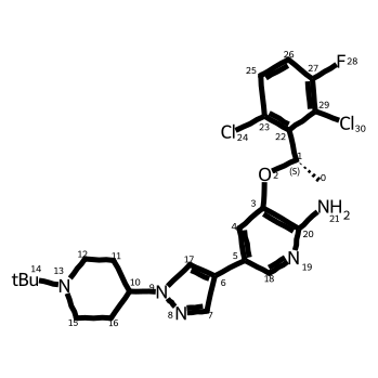 C[C@H](Oc1cc(-c2cnn(C3CCN(C(C)(C)C)CC3)c2)cnc1N)c1c(Cl)ccc(F)c1Cl